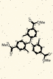 COC(=O)c1ccc(P(c2ccc(C(=O)OC)cc2C)c2ccc(C(=O)OC)cc2C)c(C)c1